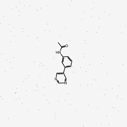 CC(=O)Nc1cccc(-c2cncnc2)c1